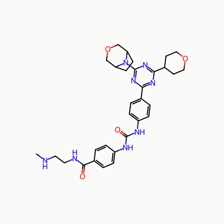 CNCCNC(=O)c1ccc(NC(=O)Nc2ccc(-c3nc(C4CCOCC4)nc(N4C5CCC4COC5)n3)cc2)cc1